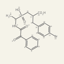 CC(NC(=O)C(=O)c1ccccc1)P(=O)(O)CC(Cc1ccc(Br)cc1)C(=O)O